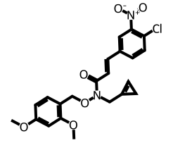 COc1ccc(CON(CC2=CC2)C(=O)/C=C/c2ccc(Cl)c([N+](=O)[O-])c2)c(OC)c1